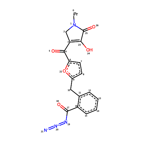 CC(C)N1CC(C(=O)c2ccc(Cc3ccccc3C(=O)N=[N+]=[N-])o2)=C(O)C1=O